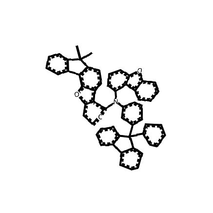 CC1(C)c2ccccc2-c2c1ccc1c2oc2cccc(N(c3cccc(C4(c5ccccc5)c5ccccc5-c5ccccc54)c3)c3cccc4oc5ccccc5c34)c21